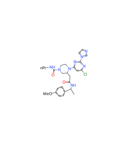 CCCNC(=O)N1CCN(c2cc(Cl)nc(-n3ccnc3)n2)C(CC(=O)NC(C)c2ccc(OC)cc2)C1